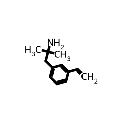 C=Cc1cccc(CC(C)(C)N)c1